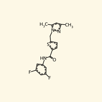 Cc1cc(C)n(Cc2ccc(C(=O)Nc3cc(F)cc(F)c3)s2)n1